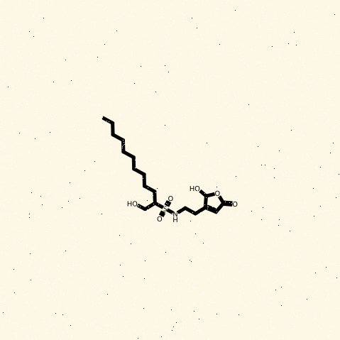 CCCCCCCCCCC(CO)S(=O)(=O)NCCC1=CC(=O)OC1O